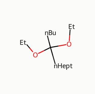 CCCCCCCC(CCCC)(OCC)OCC